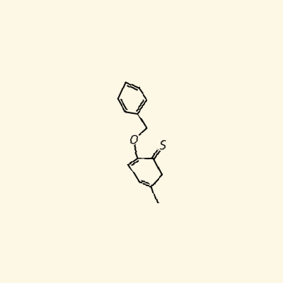 CC1=CC=C(OCc2ccccc2)C(=S)C1